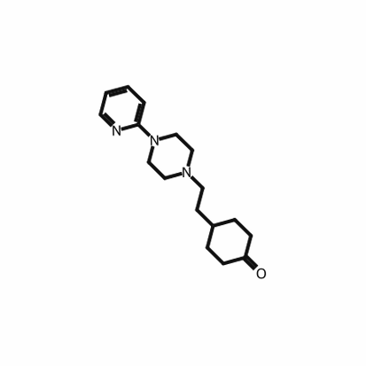 O=C1CCC(CCN2CCN(c3ccccn3)CC2)CC1